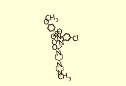 COc1ccc(S(=O)(=O)n2c(=O)n(CC(=O)N3CCC(N4CCN(C)CC4)CC3)c3cc(Cl)ccc32)cc1